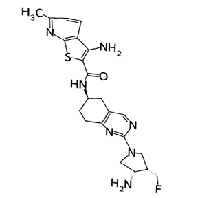 Cc1ccc2c(N)c(C(=O)N[C@@H]3CCc4nc(N5C[C@H](CF)[C@H](N)C5)ncc4C3)sc2n1